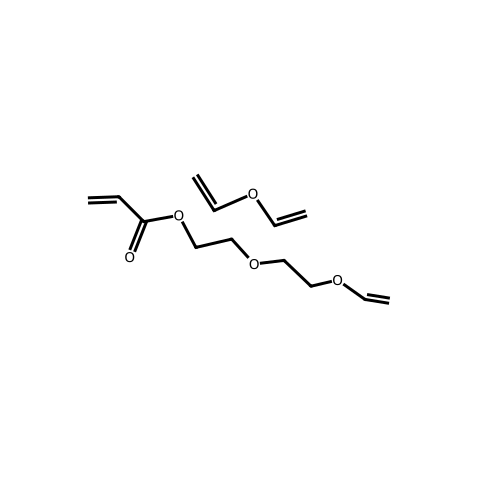 C=COC=C.C=COCCOCCOC(=O)C=C